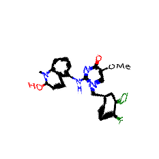 COc1cn(CC2=CC=C(F)C(Cl)C2)c(Nc2cccc3c2C=CC(O)N3C)nc1=O